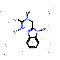 CNC(C)N(C)Cc1nc2ccccc2n1C